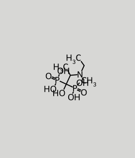 CCN(C)C(C)C(O)(P(=O)(O)O)P(=O)(O)O